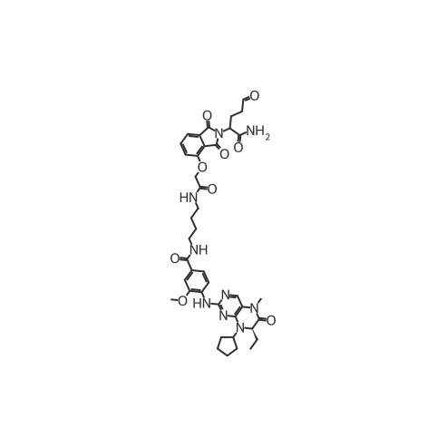 CC[C@@H]1C(=O)N(C)c2cnc(Nc3ccc(C(=O)NCCCCNC(=O)COc4cccc5c4C(=O)N(C(CCC=O)C(N)=O)C5=O)cc3OC)nc2N1C1CCCC1